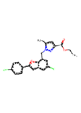 CCOC(=O)c1cc(C)n(Cc2cc(Cl)cc3cc(-c4ccc(Cl)cc4)oc23)n1